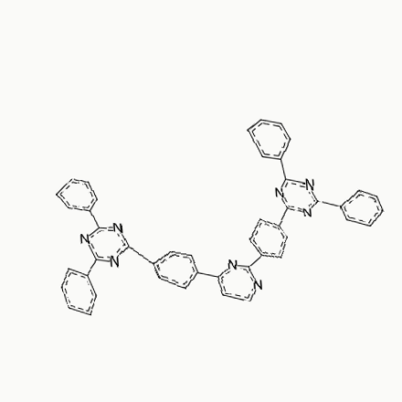 c1ccc(-c2nc(-c3ccccc3)nc(-c3ccc(-c4ccnc(-c5ccc(-c6nc(-c7ccccc7)nc(-c7ccccc7)n6)cc5)n4)cc3)n2)cc1